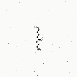 CC(C)CCOC(=O)CCCC=N